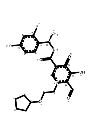 C[C@@H](NC(=O)c1cn(CCOC2CCCC2)c(C=O)c(O)c1=O)c1ccc(F)cc1F